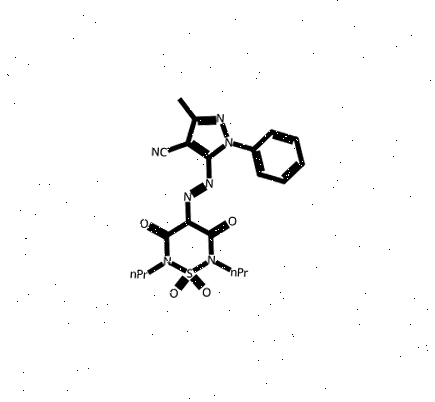 CCCN1C(=O)C(N=Nc2c(C#N)c(C)nn2-c2ccccc2)C(=O)N(CCC)S1(=O)=O